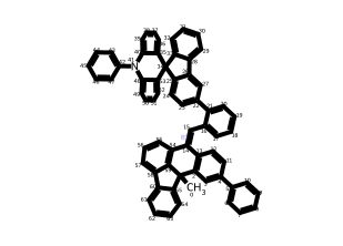 CC12c3cc(-c4ccccc4)ccc3/C(=C\c3ccccc3-c3ccc4c(c3)-c3ccccc3C43c4ccccc4N(c4ccccc4)c4ccccc43)c3cccc(c31)-c1ccccc12